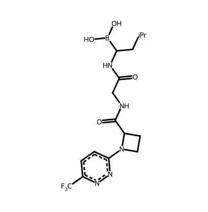 CC(C)CC(NC(=O)CNC(=O)C1CCN1c1ccc(C(F)(F)F)nn1)B(O)O